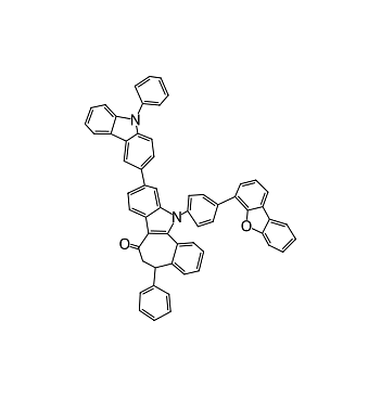 O=C1CC(c2ccccc2)c2ccccc2-c2c1c1ccc(-c3ccc4c(c3)c3ccccc3n4-c3ccccc3)cc1n2-c1ccc(-c2cccc3c2oc2ccccc23)cc1